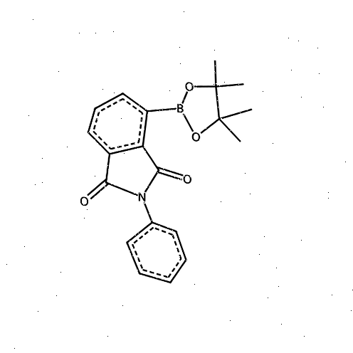 CC1(C)OB(c2cccc3c2C(=O)N(c2ccccc2)C3=O)OC1(C)C